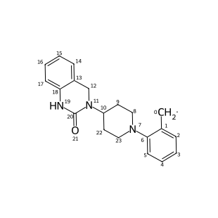 [CH2]c1ccccc1N1CCC(N2Cc3ccccc3NC2=O)CC1